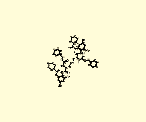 CN(Cc1cc(Br)cc(Br)c1NC(=O)[C@H](CSSC[C@H](NC(=O)OCc1ccccc1)C(=O)Nc1c(Br)cc(Br)cc1CN(C)C1CCCCC1)NC(=O)OCc1ccccc1)C1CCCCC1